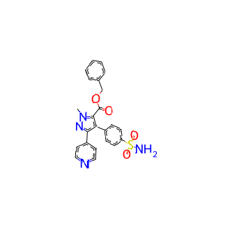 Cn1nc(-c2ccncc2)c(-c2ccc(S(N)(=O)=O)cc2)c1C(=O)OCc1ccccc1